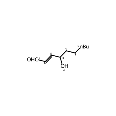 CCCCCCC(O)C=CC=O